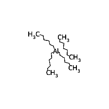 CCCCCCC.CCCCC[CH2][Al]([CH2]CCCCC)[CH2]CCCCC